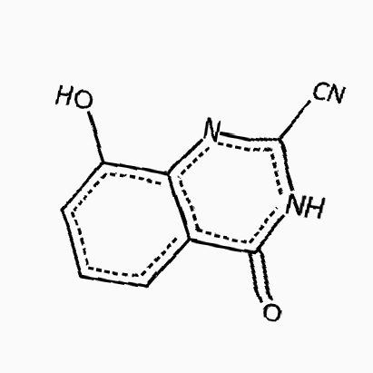 N#Cc1nc2c(O)cccc2c(=O)[nH]1